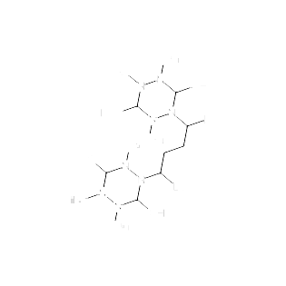 CCC(C)N1C(C)N(C(C)CC)N(C(CC)CCC(CC)N2C(C)N(C(C)CC)N(C(C)CC)C(C)N2C(C)CC)C(C)N1C(C)CC